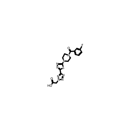 O=C(O)Cn1nnc(-c2nnc(N3CCN(C(=O)c4cccc(F)c4)CC3)s2)n1